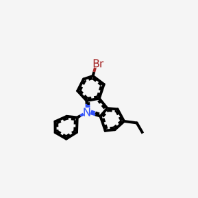 CCc1ccc2c(c1)c1cc(Br)ccc1n2-c1ccccc1